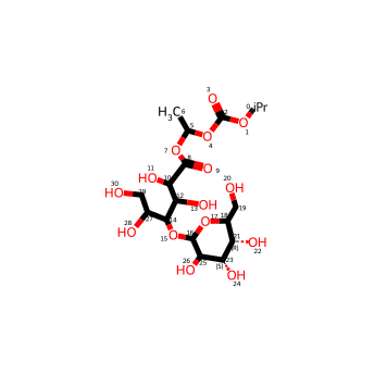 CC(C)OC(=O)OC(C)OC(=O)C(O)C(O)C(OC1OC(CO)[C@H](O)[C@H](O)C1O)C(O)CO